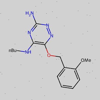 CCCCNc1nc(N)nnc1OCc1ccccc1OC